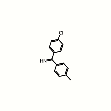 Cc1ccc(C(=N)c2ccc(Cl)cc2)cc1